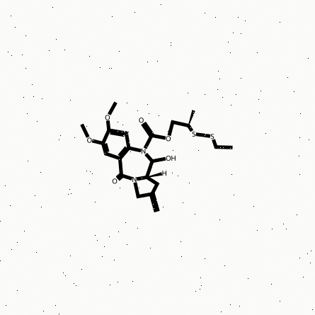 C=C1C[C@H]2C(O)N(C(=O)OC[C@@H](C)SSCC)c3cc(OC)c(OC)cc3C(=O)N2C1